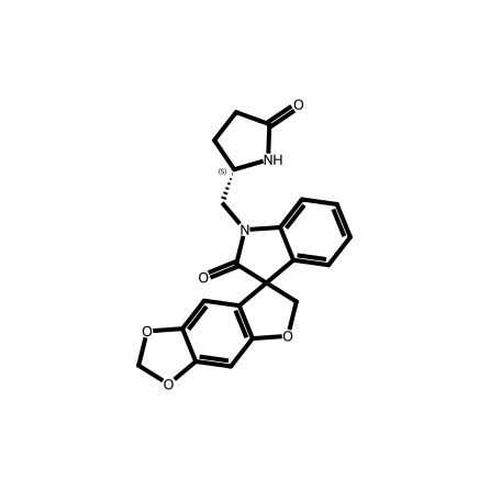 O=C1CC[C@@H](CN2C(=O)C3(COc4cc5c(cc43)OCO5)c3ccccc32)N1